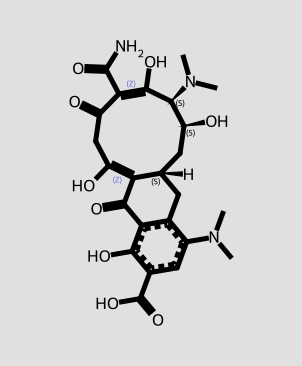 CN(C)c1cc(C(=O)O)c(O)c2c1C[C@H]1C[C@H](O)[C@H](N(C)C)/C(O)=C(/C(N)=O)C(=O)C/C(O)=C\1C2=O